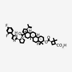 C=C(C)[C@@H]1CCC2(C(=O)N3CCC[C@H]3c3ncc(-c4ccc(F)cc4F)[nH]3)CC[C@]3(C)[C@H](CC[C@@H]4[C@@]5(C)CC[C@H](OC(=O)[C@@H]6C[C@@H](C(=O)O)C6(C)C)C(C)(C)[C@@H]5CC[C@]43C)[C@@H]12